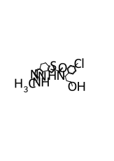 CNc1ncc2c(n1)-c1cc(C(=O)NC(CCO)c3ccc(Cl)cc3)sc1CC2